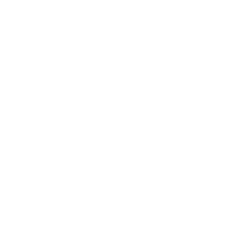 CCOCOc1cc(/C=C/c2cccc(CCCCC(C)(C)O)c2)cc(OCOCC)c1